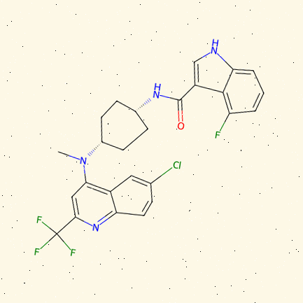 CN(c1cc(C(F)(F)F)nc2ccc(Cl)cc12)[C@H]1CC[C@@H](NC(=O)c2c[nH]c3cccc(F)c23)CC1